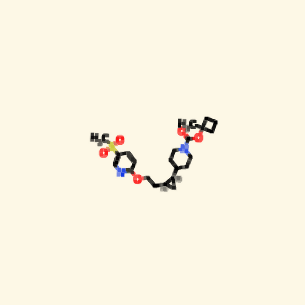 CC1(OC(=O)N2CCC([C@H]3C[C@H]3CCOc3ccc(S(C)(=O)=O)cn3)CC2)CCC1